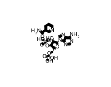 NC(=O)c1cccnc1.Nc1ncnc2c1ncn2[C@@H]1O[C@H](COP(=O)(O)O)[C@@H](OP(=O)(O)O)[C@H]1O